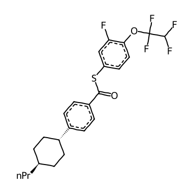 CCC[C@H]1CC[C@H](c2ccc(C(=O)Sc3ccc(OC(F)(F)C(F)F)c(F)c3)cc2)CC1